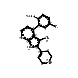 COc1ccc(F)cc1-c1ccnc2[nH]c(C3=CCNCC3)c(C#N)c12